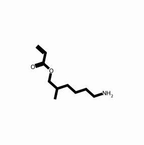 C=CC(=O)OCC(C)CCCCN